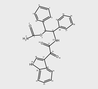 NC(=O)OC(c1ccccc1)C(NC(=O)C(=O)c1c[nH]c2ccccc12)c1ccccc1